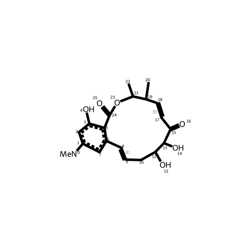 CNc1cc(O)c2c(c1)/C=C/CC(O)C(O)C(=O)/C=C/C(C)C(C)OC2=O